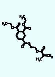 C=C(C)C(=O)OCCOC(=O)C1CCC(C(=O)OCC(F)(F)F)C(C(=O)OCC(F)(F)F)C1